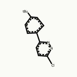 CC(C)(C)c1ccc(-c2ccc(Cl)nn2)cc1